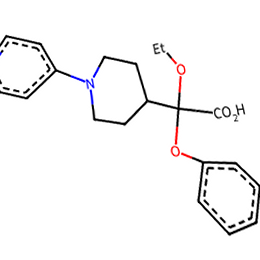 CCOC(Oc1ccccc1)(C(=O)O)C1CCN(c2ccncc2)CC1